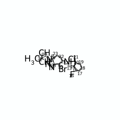 CC(C)(C)Cn1nnc2c(Br)c(NCc3c(F)cccc3Cl)ccc21